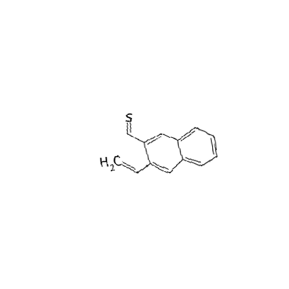 C=Cc1cc2ccccc2cc1C=S